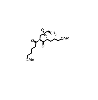 C=CS(=O)(=O)CN(C(=O)CCCCOC)C(=O)CCCCOC